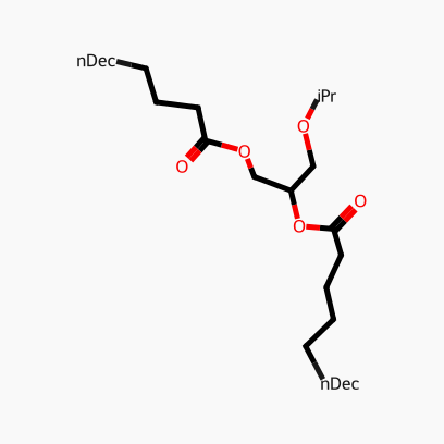 CCCCCCCCCCCCCCC(=O)OC(COC(=O)CCCCCCCCCCCCC)COC(C)C